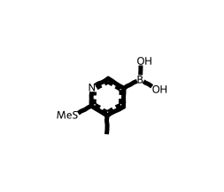 CSc1ncc(B(O)O)cc1C